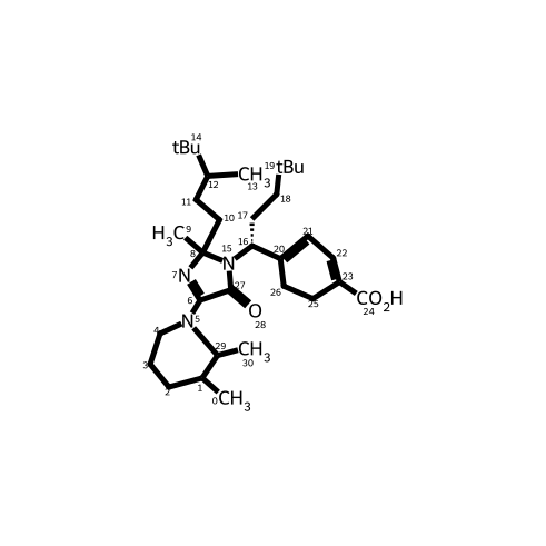 CC1CCCN(C2=NC(C)(CCC(C)C(C)(C)C)N([C@H](CCC(C)(C)C)C3=CC=C(C(=O)O)CC3)C2=O)C1C